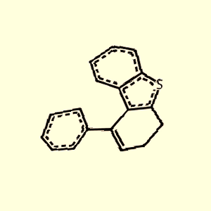 C1=C(c2ccccc2)c2c(sc3ccccc23)CC1